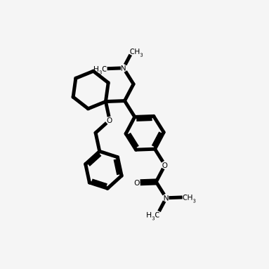 CN(C)CC(c1ccc(OC(=O)N(C)C)cc1)C1(OCc2ccccc2)CCCCC1